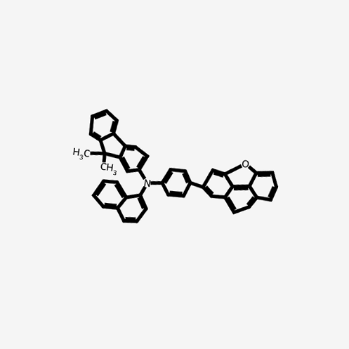 CC1(C)c2ccccc2-c2ccc(N(c3ccc(-c4cc5ccc6cccc7oc(c4)c5c67)cc3)c3cccc4ccccc34)cc21